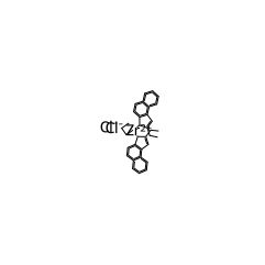 CCC1=Cc2c(ccc3ccccc23)[CH]1[Zr+2]1([CH]2C(CC)=Cc3c2ccc2ccccc32)[CH2]C[CH2]1.[Cl-].[Cl-]